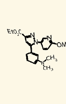 CCOC(=O)c1cc(-c2cccc(N(C)C)c2)n(-c2ccc(OC)nc2)n1